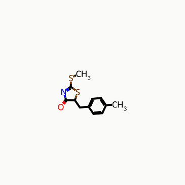 CSC1=NC(=O)C(Cc2ccc(C)cc2)S1